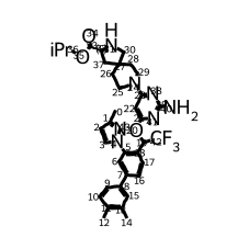 Cc1ccn(-c2cc(-c3ccc(C)c(C)c3)ccc2C(Oc2cc(N3CCC4(CC3)CN[C@H](C(=O)OC(C)C)C4)nc(N)n2)C(F)(F)F)n1